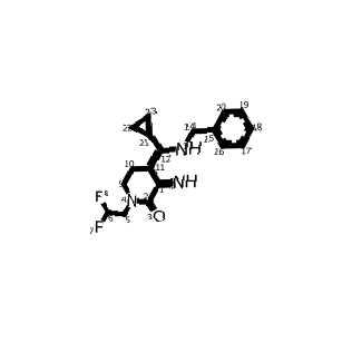 N=C1C(=O)N(CC(F)F)CC/C1=C(/NCc1ccccc1)C1CC1